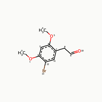 COc1cc(OC)c(CC=O)cc1Br